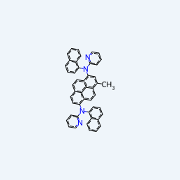 Cc1cc(N(c2ccccn2)c2cccc3ccccc23)c2ccc3ccc(N(c4ccccn4)c4cccc5ccccc45)c4ccc1c2c34